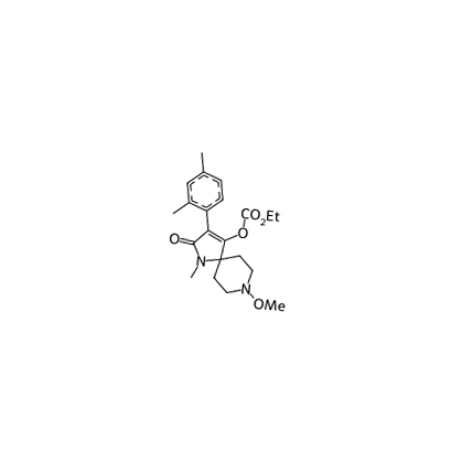 CCOC(=O)OC1=C(c2ccc(C)cc2C)C(=O)N(C)C12CCN(OC)CC2